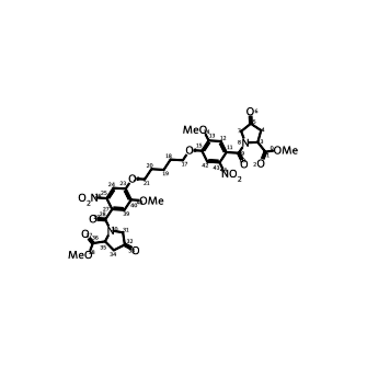 COC(=O)C1CC(=O)CN1C(=O)c1cc(OC)c(OCCCCCOc2cc([N+](=O)[O-])c(C(=O)N3CC(=O)CC3C(=O)OC)cc2OC)cc1[N+](=O)[O-]